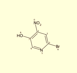 O=[N+]([O-])c1cc(Br)ncc1O